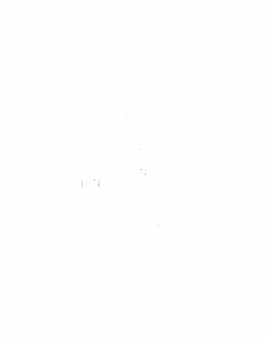 Nc1cc(-c2ccccc2)nc(-c2ccccc2)c1